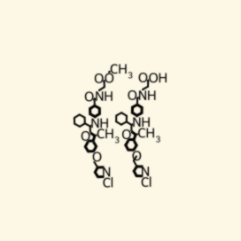 CCOC(=O)CCNC(=O)c1ccc(NC(c2oc3ccc(OCc4ccc(Cl)nc4)cc3c2C)C2CCCCC2)cc1.Cc1c(C(Nc2ccc(C(=O)NCCC(=O)O)cc2)C2CCCCC2)oc2ccc(OCc3ccc(Cl)nc3)cc12